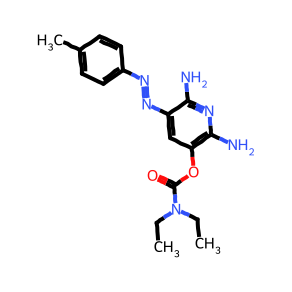 CCN(CC)C(=O)Oc1cc(/N=N/c2ccc(C)cc2)c(N)nc1N